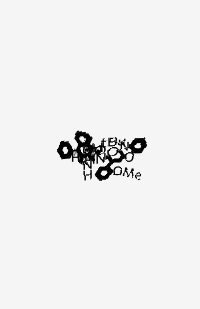 COc1ccccc1C(=CC(=O)CN(c1ccccc1)C(C)(C)C)C(=O)NC(=O)[C@]12CNC[C@H]1[C@@]1(c3ccccc3)CC[C@@H]2c2ccccc21